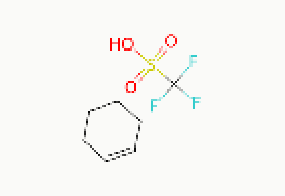 C1=CCCCC1.O=S(=O)(O)C(F)(F)F